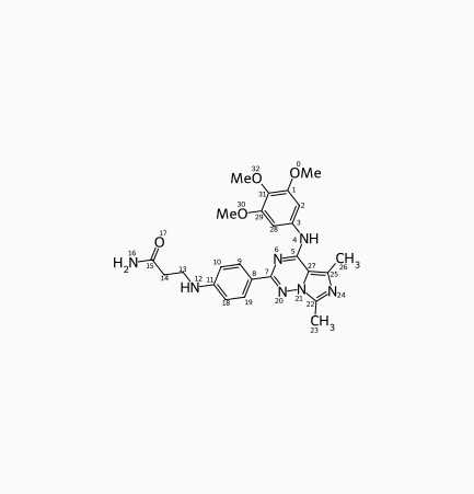 COc1cc(Nc2nc(-c3ccc(NCCC(N)=O)cc3)nn3c(C)nc(C)c23)cc(OC)c1OC